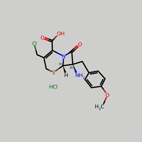 COc1ccc(C[C@@]2(N)C(=O)N3C(C(=O)O)=C(CCl)CS[C@H]32)cc1.Cl